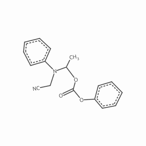 CC(OC(=O)Oc1ccccc1)N(CC#N)c1ccccc1